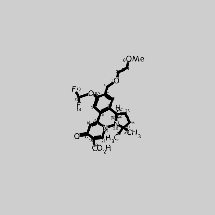 COCCOCc1cc2c(cc1OC(F)F)-c1cc(=O)c(C(=O)O)cn1N1[C@@H]2CCC1(C)C